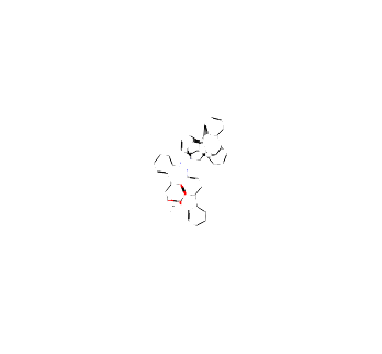 CC1(C)c2ccccc2-c2ccc(N(c3ccc4c(c3)-c3c5cccc3-c3cccc-4c3-c3ccccc3-5)c3ccccc3-c3ccccc3)cc21